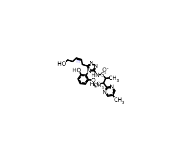 COc1cccc(O)c1-n1c(C/C=C\CCO)nnc1N[S+]([O-])C(C)C(C)c1ncc(C)cn1